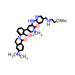 COCCNCc1ccc(Nc2cc(-c3cccc(N4CCc5cc(N(C)C)ccc5C4=O)c3CO)cn(C)c2=O)nc1